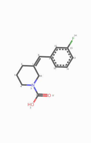 O=C(O)N1CCCC(=Cc2cccc(F)c2)C1